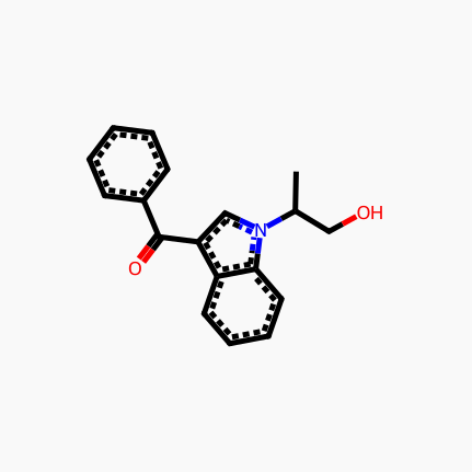 CC(CO)n1cc(C(=O)c2ccccc2)c2ccccc21